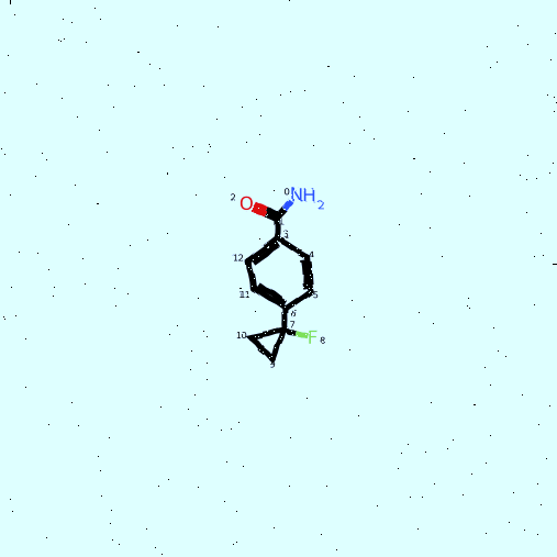 NC(=O)c1ccc(C2(F)CC2)cc1